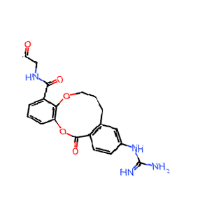 N=C(N)Nc1ccc2c(c1)CCCOc1c(cccc1C(=O)NC[C]=O)OC2=O